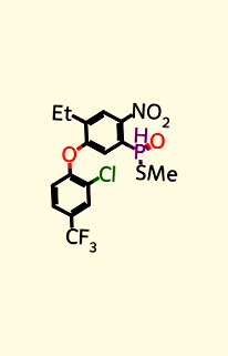 CCc1cc([N+](=O)[O-])c([PH](=O)SC)cc1Oc1ccc(C(F)(F)F)cc1Cl